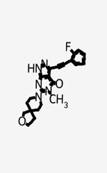 Cn1c(N2CCC3(CCOC3)CC2)nc2[nH]nc(C#Cc3ccccc3F)c2c1=O